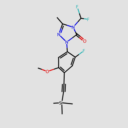 COc1cc(-n2nc(C)n(C(F)F)c2=O)c(F)cc1C#C[Si](C)(C)C